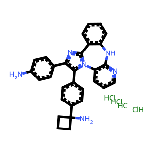 Cl.Cl.Cl.Cl.Nc1ccc(-c2nc3n(c2-c2ccc(C4(N)CCC4)cc2)-c2cccnc2Nc2ccccc2-3)cc1